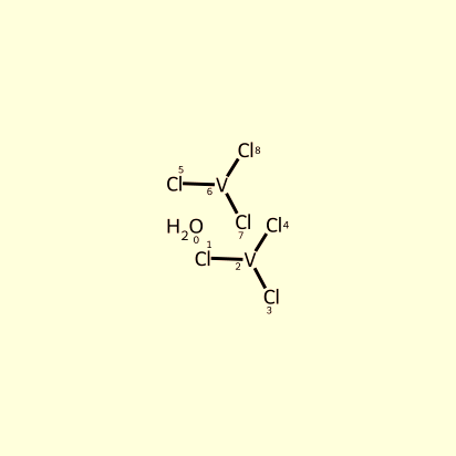 O.[Cl][V]([Cl])[Cl].[Cl][V]([Cl])[Cl]